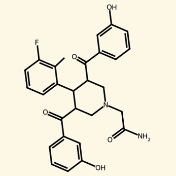 Cc1c(F)cccc1C1C(C(=O)c2cccc(O)c2)CN(CC(N)=O)CC1C(=O)c1cccc(O)c1